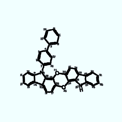 c1ccc(-c2ccc(-n3c4ccccc4c4ccc5c(c43)Oc3ccc4c([nH]c6ccccc64)c3O5)cc2)cc1